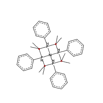 CC[PH](CC)(c1ccccc1)[Ni]([PH](CC)(CC)c1ccccc1)([PH](CC)(CC)c1ccccc1)[PH](CC)(CC)c1ccccc1